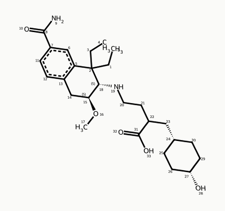 CCC1(CC)c2cc(C(N)=O)ccc2C[C@H](OC)[C@H]1NCCC(C[C@H]1CC[C@@H](O)CC1)C(=O)O